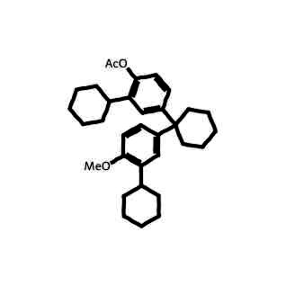 COc1ccc(C2(c3ccc(OC(C)=O)c(C4CCCCC4)c3)CCCCC2)cc1C1CCCCC1